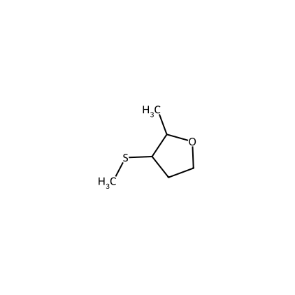 CSC1CCOC1C